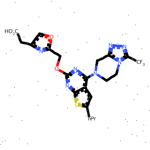 CCCc1cc2c(N3CCn4c(nnc4C(F)(F)F)C3)nc(OCc3nc(CC(=O)O)co3)nc2s1